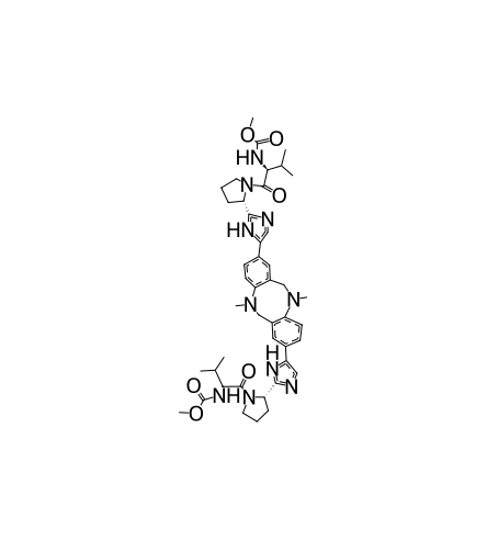 COC(=O)N[C@H](C(=O)N1CCC[C@H]1c1ncc(-c2ccc3c(c2)CN(C)c2ccc(-c4cnc([C@@H]5CCCN5C(=O)[C@@H](NC(=O)OC)C(C)C)[nH]4)cc2CN3C)[nH]1)C(C)C